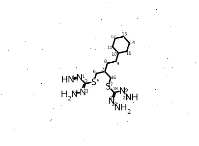 N=NC(=NN)SCC(CCC1CCCCC1)CSC(N=N)=NN